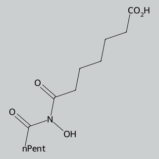 CCCCCC(=O)N(O)C(=O)CCCCCC(=O)O